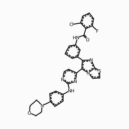 O=C(Nc1cccc(-c2nc3sccn3c2-c2ccnc(Nc3ccc(N4CCOCC4)cc3)n2)c1)c1c(F)cccc1Cl